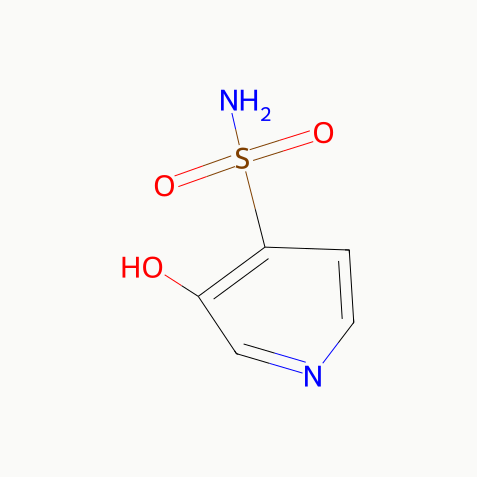 NS(=O)(=O)c1ccncc1O